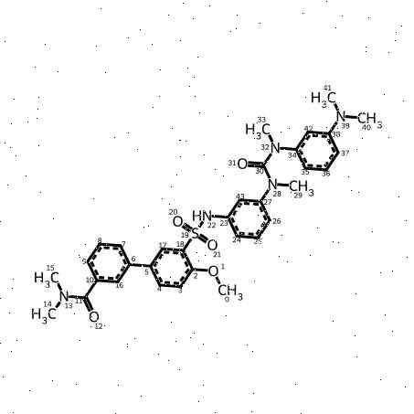 COc1ccc(-c2cccc(C(=O)N(C)C)c2)cc1S(=O)(=O)Nc1cccc(N(C)C(=O)N(C)c2cccc(N(C)C)c2)c1